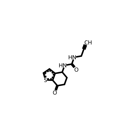 C#CCNC(=O)NC1CCC(=O)c2sccc21